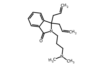 C=CCC1(CC=C)c2ccccc2C(=O)N1CCCN(C)C